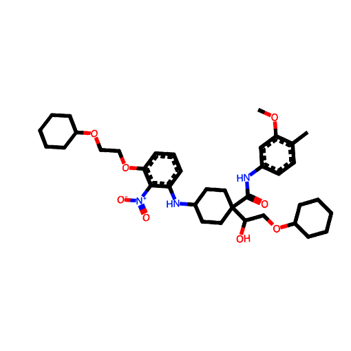 COc1cc(NC(=O)C2(C(O)COC3CCCCC3)CCC(Nc3cccc(OCCOC4CCCCC4)c3[N+](=O)[O-])CC2)ccc1C